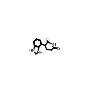 O=C1CCC(c2cccc3c2NCN3)C(=O)N1